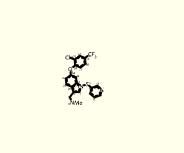 CNCc1cn(Sc2cccnc2)c2cc(Oc3ccc(C(F)(F)F)cc3Cl)ccc12